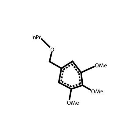 [CH2]CCOCc1cc(OC)c(OC)c(OC)c1